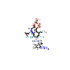 Cc1c(F)c(N2CC[C@@H]3C[C@H](N)[C@@H]3C2)c(F)c2c1c(=O)c(OC(=O)O)cn2C1CC1